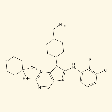 CC1(Nc2ncc3nc(Nc4cccc(Cl)c4F)n(C4CCC(CN)CC4)c3n2)CCOCC1